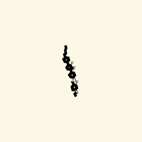 CCCCCc1ccc(-c2ccc(-c3ccc(OCc4ccc(OCC)cc4F)cc3)c(F)c2F)cc1